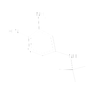 CC(C)(C)Nc1cnc(N)c(N)c1